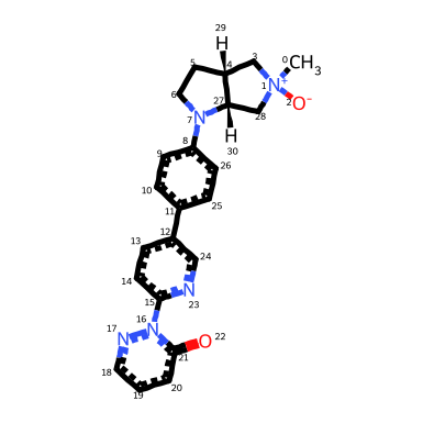 C[N+]1([O-])C[C@H]2CCN(c3ccc(-c4ccc(-n5ncccc5=O)nc4)cc3)[C@H]2C1